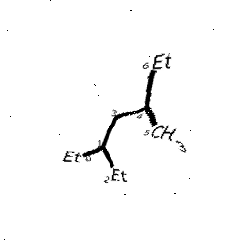 [CH2]CC(CC)CC(C)CC